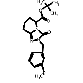 COc1cccc(Cn2nc3n(c2=O)C(C(=O)OC(C)(C)C)CCC3)c1